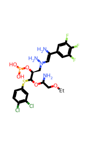 CCOCC(N)OC(Sc1ccc(Cl)c(Cl)c1)[C@H](CN(N)/C=C(\N)c1cc(F)c(F)c(F)c1)OP(O)O